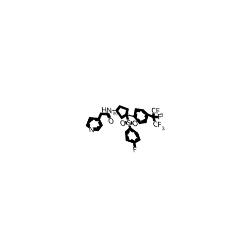 O=C(Cc1ccncc1)N[C@@H]1CC[C@](c2ccc(C(F)(C(F)(F)F)C(F)(F)F)cc2)(S(=O)(=O)c2ccc(F)cc2)C1